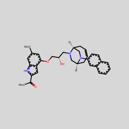 COC(=O)c1cc2c(OC[C@@H](O)CN3C[C@@H]4C/C=C\C[C@H]3CN4c3ccc4ccccc4c3)cc(OC)cc2[nH]1